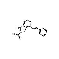 O=C(O)C1Cc2c(C=Cc3ccccc3)cccc2N1